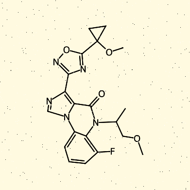 COCC(C)n1c(=O)c2c(-c3noc(C4(OC)CC4)n3)ncn2c2cccc(F)c21